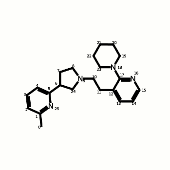 Cc1cccc(C2CCN(CCc3cccnc3N3CCCCC3)C2)n1